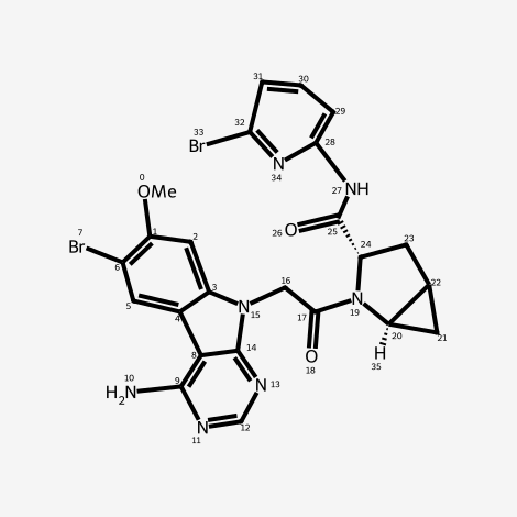 COc1cc2c(cc1Br)c1c(N)ncnc1n2CC(=O)N1[C@@H]2CC2C[C@H]1C(=O)Nc1cccc(Br)n1